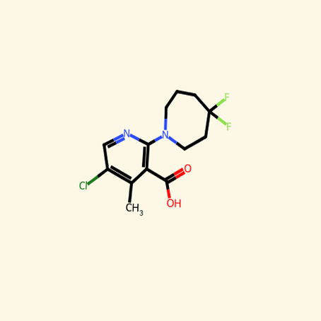 Cc1c(Cl)cnc(N2CCCC(F)(F)CC2)c1C(=O)O